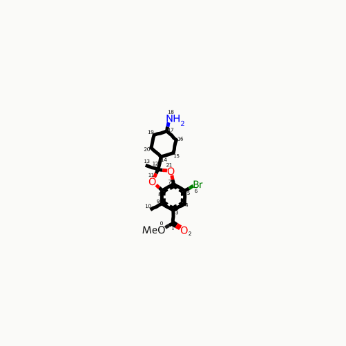 COC(=O)c1cc(Br)c2c(c1C)OC(C)(C1CCC(N)CC1)O2